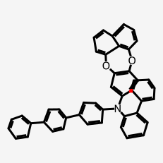 c1ccc(-c2ccc(-c3ccc(N(c4ccc5c(c4)Oc4cccc6cccc(c46)O5)c4ccccc4-c4ccccc4)cc3)cc2)cc1